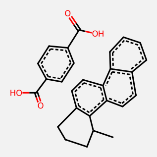 CC1CCCc2ccc3c(ccc4ccccc43)c21.O=C(O)c1ccc(C(=O)O)cc1